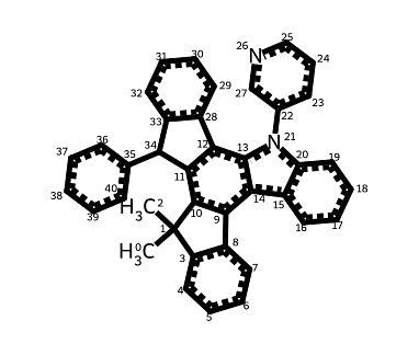 CC1(C)c2ccccc2-c2c1c1c(c3c2c2ccccc2n3-c2cccnc2)-c2ccccc2C1c1ccccc1